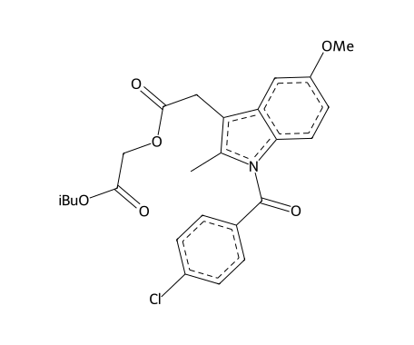 COc1ccc2c(c1)c(CC(=O)OCC(=O)OCC(C)C)c(C)n2C(=O)c1ccc(Cl)cc1